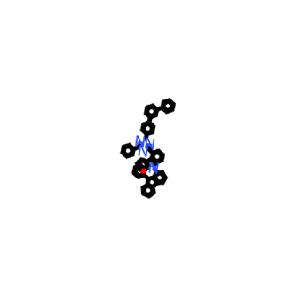 c1ccc(-c2cccc(-c3ccc(-c4nc(-c5ccccc5)nc(-c5cccc6c5c5ccccc5n6-c5cccc6c5C(c5ccccc5)c5ccccc5-6)n4)cc3)c2)cc1